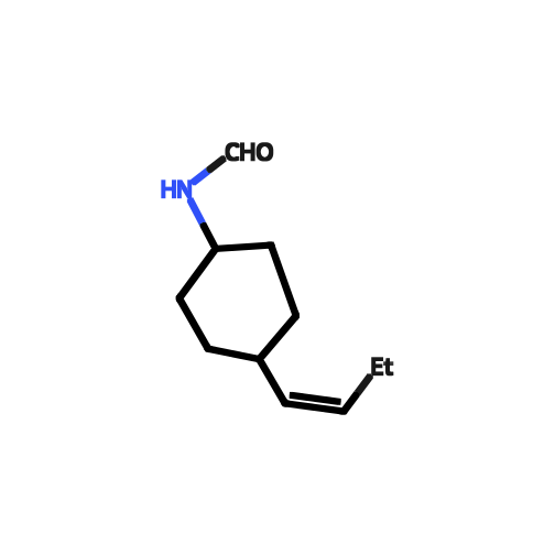 CC/C=C\C1CCC(NC=O)CC1